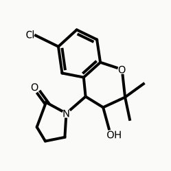 CC1(C)Oc2ccc(Cl)cc2C(N2CCCC2=O)C1O